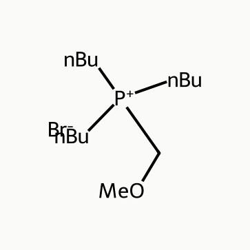 CCCC[P+](CCCC)(CCCC)COC.[Br-]